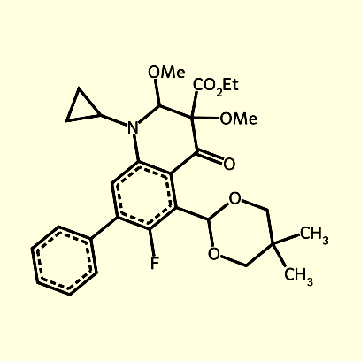 CCOC(=O)C1(OC)C(=O)c2c(cc(-c3ccccc3)c(F)c2C2OCC(C)(C)CO2)N(C2CC2)C1OC